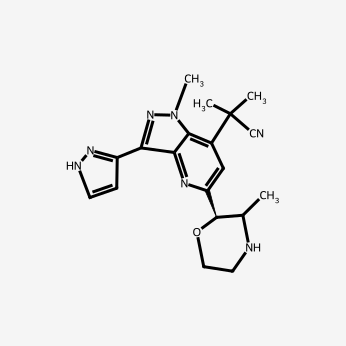 CC1NCCO[C@H]1c1cc(C(C)(C)C#N)c2c(n1)c(-c1cc[nH]n1)nn2C